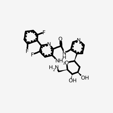 NC[C@H]1O[C@@H](c2ccncc2NC(=O)c2nc(-c3c(F)cccc3F)c(F)cc2N)C[C@@H](O)[C@@H]1O